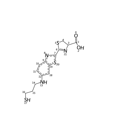 O=C(O)C1CSC(c2nc3ccc(NCCCS)cc3s2)=N1